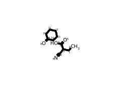 CCC(C#N)C(=O)O.O=C1CCCCC1